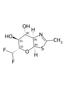 CC1=N[C@@H]2[C@@H](O)[C@H](O)[C@@H](C(F)F)O[C@@H]2S1